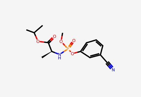 COP(=O)(N[C@@H](C)C(=O)OC(C)C)Oc1cccc(C#N)c1